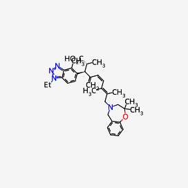 C=C(/C=C\C(C)=C(/C)CN1Cc2ccccc2OC(C)(C)C1)[C@@H](c1ccc2c(nnn2CC)c1C)[C@@H](C)C(=O)O